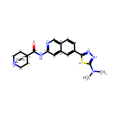 CN(C)c1nnc(-c2ccc3cnc(NC(=O)C45CCN(CC4)CC5)cc3c2)s1